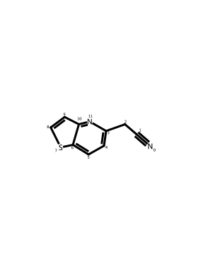 N#CCc1ccc2sccc2n1